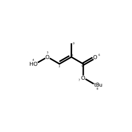 CC(=COO)C(=O)OC(C)(C)C